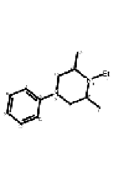 CCN1C(C)CN(c2ccccc2)CC1C